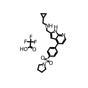 O=C(O)C(F)(F)F.O=S(=O)(c1ccc(-c2ccnc3[nH]c(CNCC4CC4)cc23)cc1)N1CCCC1